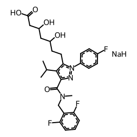 CC(C)c1c(C(=O)N(C)Cc2c(F)cccc2F)nn(-c2ccc(F)cc2)c1CCC(O)CC(O)CC(=O)O.[NaH]